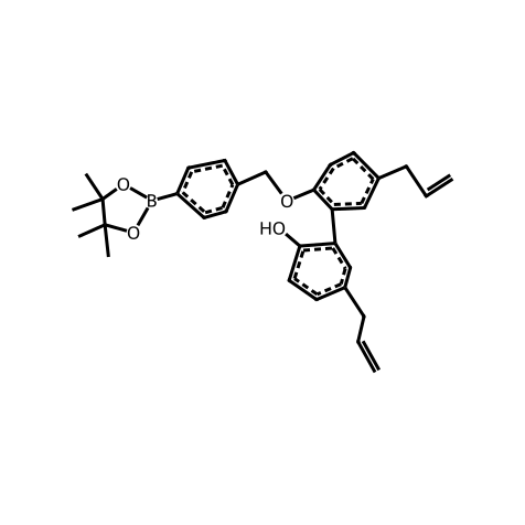 C=CCc1ccc(O)c(-c2cc(CC=C)ccc2OCc2ccc(B3OC(C)(C)C(C)(C)O3)cc2)c1